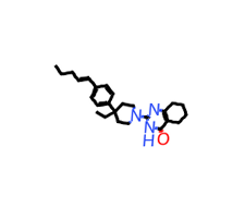 CCC/C=C/c1ccc(C2(CC)CCN(c3nc4c(c(=O)[nH]3)CCCC4)CC2)cc1